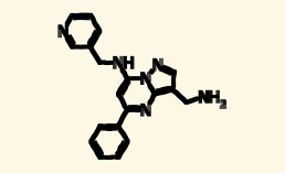 NCc1cnn2c(NCc3cccnc3)cc(-c3ccccc3)nc12